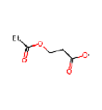 CCC(=O)OCCC([O])=O